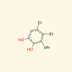 CCCc1c(O)c(O)cc(CC)c1CC